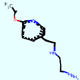 NCCNCc1ccc(OCC(F)(F)F)nc1